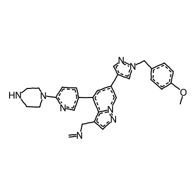 C=NCc1cnn2cc(-c3cnn(Cc4ccc(OC)cc4)c3)cc(-c3ccc(N4CCNCC4)nc3)c12